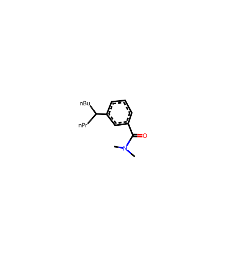 CCCCC(CCC)c1cccc(C(=O)N(C)C)c1